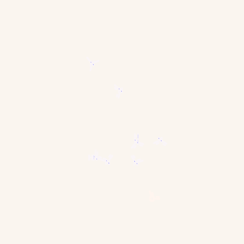 Fc1cc(-c2cncc(CN3CCCC3)c2)cc2c(-c3nc4c(-c5ccoc5)ccnc4[nH]3)n[nH]c12